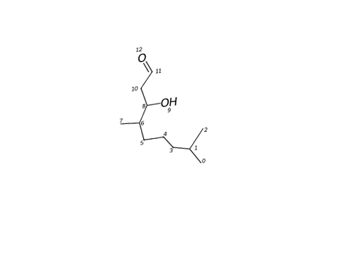 CC(C)CCCC(C)C(O)CC=O